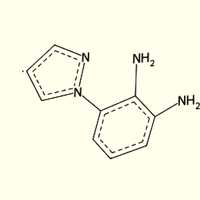 Nc1cccc(-n2c[c]cn2)c1N